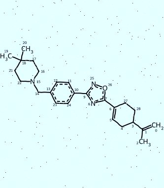 C=C(C)C1CC=C(c2nc(-c3ccc(CN4CCC(C)(C)CC4)cc3)no2)CC1